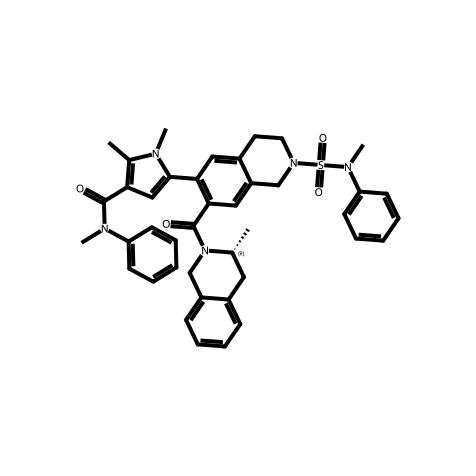 Cc1c(C(=O)N(C)c2ccccc2)cc(-c2cc3c(cc2C(=O)N2Cc4ccccc4C[C@H]2C)CN(S(=O)(=O)N(C)c2ccccc2)CC3)n1C